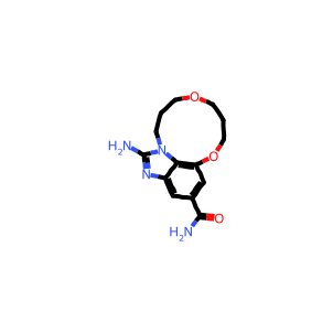 NC(=O)c1cc2c3c(c1)nc(N)n3CCCOCCCO2